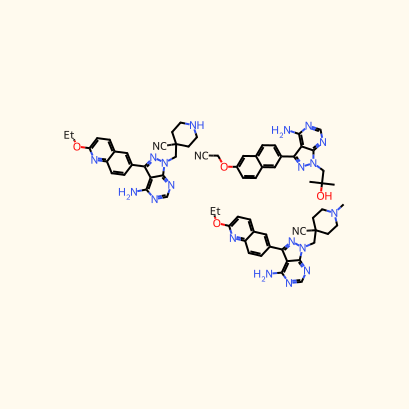 CC(C)(O)Cn1nc(-c2ccc3cc(OCC#N)ccc3c2)c2c(N)ncnc21.CCOc1ccc2cc(-c3nn(CC4(C#N)CCN(C)CC4)c4ncnc(N)c34)ccc2n1.CCOc1ccc2cc(-c3nn(CC4(C#N)CCNCC4)c4ncnc(N)c34)ccc2n1